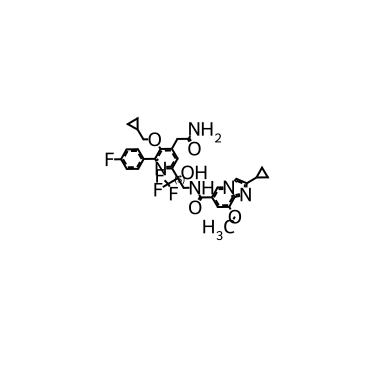 COc1cc(C(=O)NC[C@](O)(c2cc(CC(N)=O)c(OCC3CC3)c(-c3ccc(F)cc3)n2)C(F)(F)F)cn2cc(C3CC3)nc12